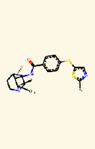 CC(=O)c1ncc(Sc2ccc(C(=O)N[C@@H]3C4CCN(CC4)[C@H]3C)cc2)s1